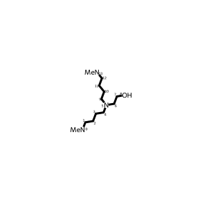 CNCCCCN(CCO)CCCCNC